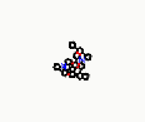 c1ccc(-c2ccc(-c3ccccc3N(c3ccc(-c4cccc5ccccc45)cc3)c3ccccc3-c3ccc4c(c3)C3(c5ccccc5-4)c4ccccc4-n4c5ccccc5c5cccc3c54)cc2)cc1